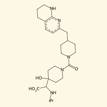 CC(C)NC(C(=O)O)C1(O)CCN(C(=O)N2CCC(Cc3ccc4c(n3)NCCC4)CC2)CC1